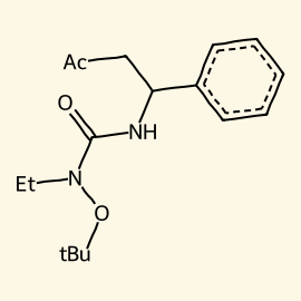 CCN(OC(C)(C)C)C(=O)NC(CC(C)=O)c1ccccc1